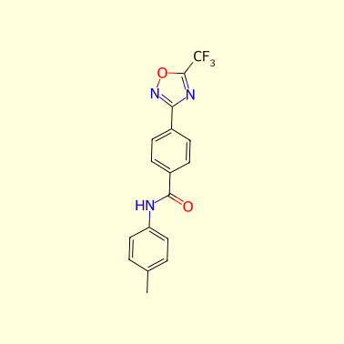 Cc1ccc(NC(=O)c2ccc(-c3noc(C(F)(F)F)n3)cc2)cc1